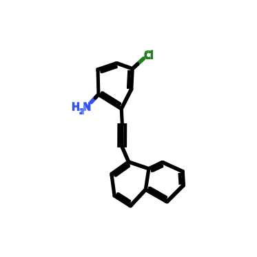 Nc1ccc(Cl)cc1C#Cc1cccc2ccccc12